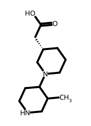 CC1CNCCC1N1CCC[C@@H](CC(=O)O)C1